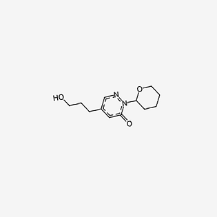 O=c1cc(CCCO)cnn1C1CCCCO1